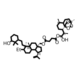 C=C(C)[C@@H]1CC[C@]2(COC(=O)CCC(=O)O[C@H](O)[C@H](C)C3CC[C@@H](C)C4CC[C@]5(C)OC[C@@]43OO5)CC[C@]3(C)C(CCC(CC)[C@@]3(C)CCC3CCCC(O)C3(C)C)C12